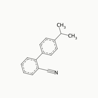 CC(C)c1ccc(-c2ccccc2C#N)cc1